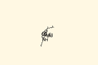 C=CCCCCNc1ccc(C(=O)OCC)c(N(CCCC)C(=O)COCC=C(C)CCC=C(C)C)c1